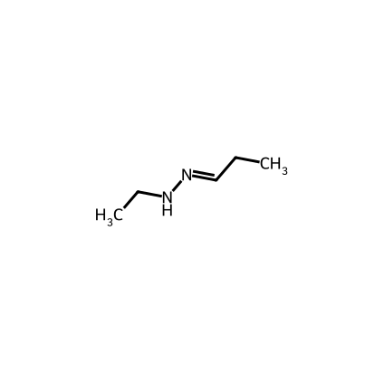 CC/C=N/NCC